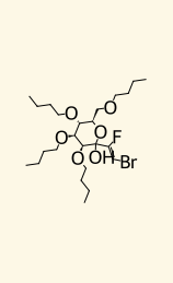 CCCCOC[C@H]1OC(O)(/C(F)=C/Br)[C@@H](OCCCC)[C@@H](OCCCC)[C@@H]1OCCCC